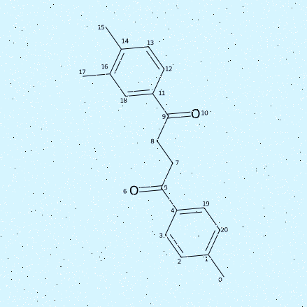 Cc1ccc(C(=O)CCC(=O)c2ccc(C)c(C)c2)cc1